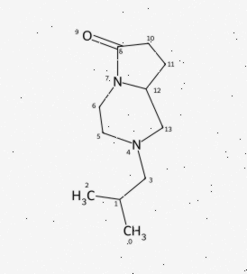 CC(C)CN1CCN2C(=O)CCC2C1